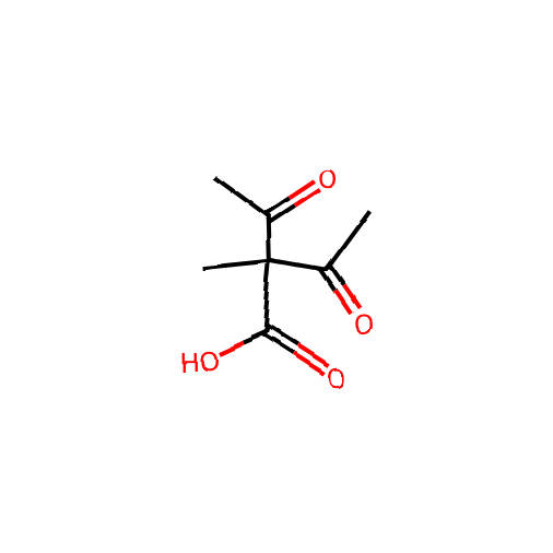 CC(=O)C(C)(C(C)=O)C(=O)O